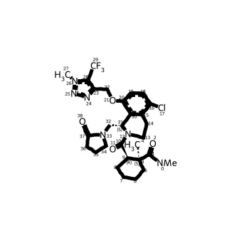 CNC(=O)[C@@]1(C)CCCC[C@H]1C(=O)N1CCc2c(Cl)ccc(OCc3nnn(C)c3C(F)(F)F)c2[C@H]1CN1CCCC1=O